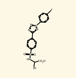 CC(C)C(NS(=O)(=O)c1ccc(-c2nnn(-c3ccc(F)cc3)n2)cc1)C(=O)O